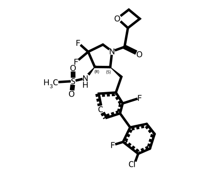 CS(=O)(=O)N[C@@H]1[C@H](Cc2cccc(-c3cccc(Cl)c3F)c2F)N(C(=O)C2CCO2)CC1(F)F